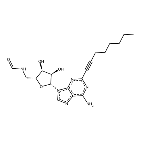 CCCCCCC#Cc1nc(N)c2ncn([C@@H]3O[C@H](CNC=O)[C@@H](O)[C@H]3O)c2n1